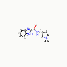 N#CN1CCC(CNC(=O)c2nc3ccccc3[nH]2)C1